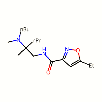 CCCCN(C)C(C)(CCC)CNC(=O)c1cc(CC)on1